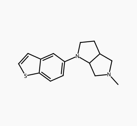 CN1CC2CCN(c3ccc4sccc4c3)C2C1